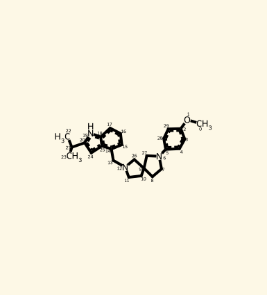 COc1ccc(N2CCC3(CCN(Cc4cccc5[nH]c(C(C)C)cc45)C3)C2)cc1